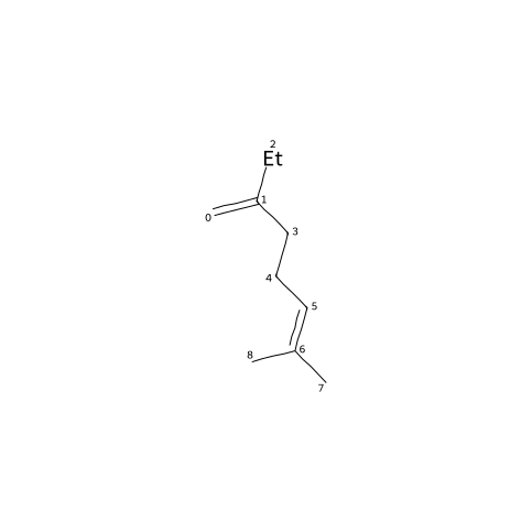 C=C(CC)CCC=C(C)C